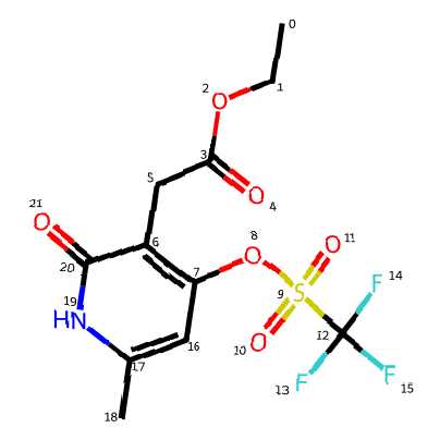 CCOC(=O)Cc1c(OS(=O)(=O)C(F)(F)F)cc(C)[nH]c1=O